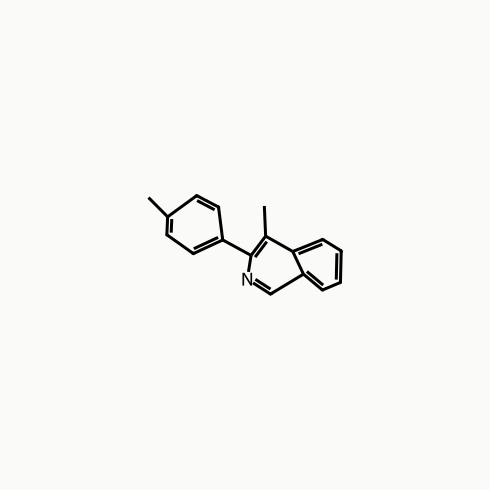 Cc1ccc(-c2ncc3ccccc3c2C)cc1